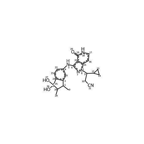 CC1c2cc(Nc3nn(C(CC#N)C4CC4)c4cc[nH]c(=O)c34)ccc2S(O)(O)C1C